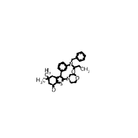 CCC(=O)N(Cc1ccccc1)c1cccc(-c2c(N3CCOCC3)sc3c2CC(C)(C)CC3=O)c1